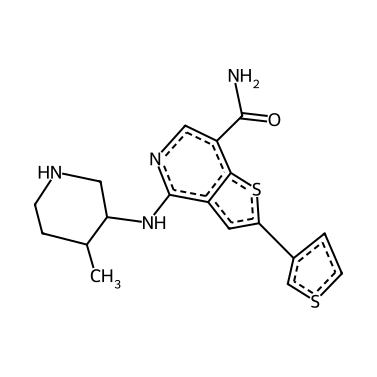 CC1CCNCC1Nc1ncc(C(N)=O)c2sc(-c3ccsc3)cc12